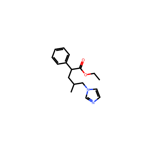 CCOC(=O)C(CC(C)Cn1ccnc1)c1ccccc1